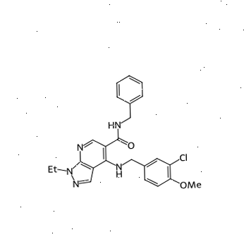 CCn1ncc2c(NCc3ccc(OC)c(Cl)c3)c(C(=O)NCc3ccccc3)cnc21